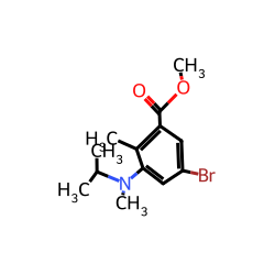 COC(=O)c1cc(Br)cc(N(C)C(C)C)c1C